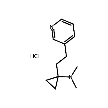 CN(C)C1(CCc2cccnc2)CC1.Cl